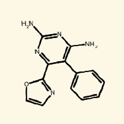 Nc1nc(N)c(-c2ccccc2)c(-c2ncco2)n1